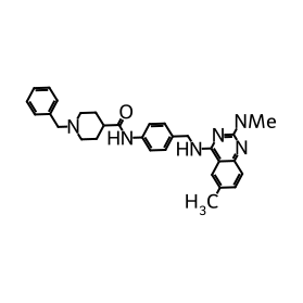 CNc1nc(NCc2ccc(NC(=O)C3CCN(Cc4ccccc4)CC3)cc2)c2cc(C)ccc2n1